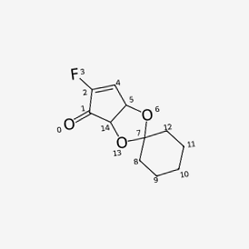 O=C1C(F)=CC2OC3(CCCCC3)OC12